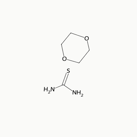 C1COCCO1.NC(N)=S